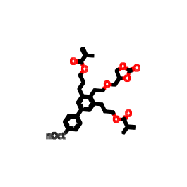 C=C(C)C(=O)OCCCc1cc(-c2ccc(CCCCCCCC)cc2)cc(CCCOC(=O)C(=C)C)c1CCOCC1COC(=O)O1